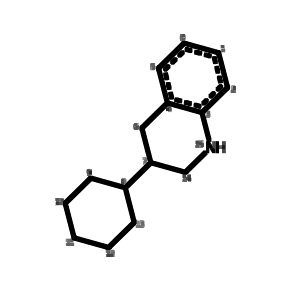 c1ccc2c(c1)CC(C1CCCCC1)CN2